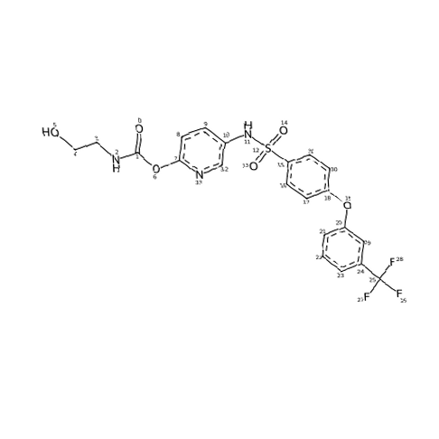 O=C(NCCO)Oc1ccc(NS(=O)(=O)c2ccc(Oc3cccc(C(F)(F)F)c3)cc2)cn1